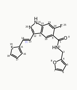 O=C(NCc1ccco1)c1cc2c(/C=C/c3cccs3)n[nH]c2cc1F